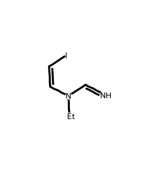 CCN(C=N)/C=C\I